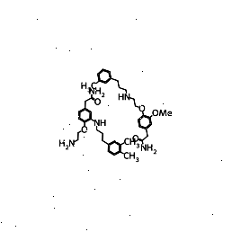 COc1cc(CC(N)=O)ccc1OCCNCCCc1cccc(C)c1.Cc1ccc(CCCNc2cc(CC(N)=O)ccc2OCCN)cc1C